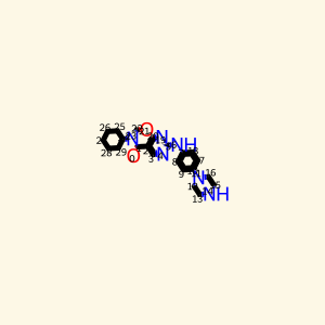 O=C1c2cnc(Nc3ccc(N4CCNCC4)cc3)nc2OCN1C1CCCCC1